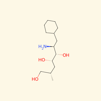 C[C@H](CO)C[C@H](O)[C@@H](O)[C@@H](N)CC1CCCCC1